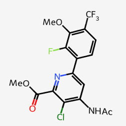 COC(=O)c1nc(-c2ccc(C(F)(F)F)c(OC)c2F)cc(NC(C)=O)c1Cl